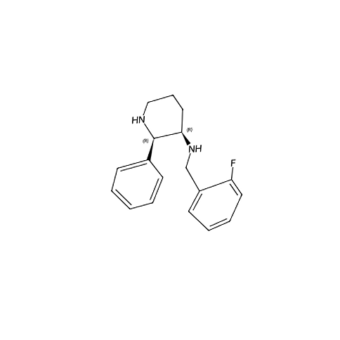 Fc1ccccc1CN[C@@H]1CCCN[C@@H]1c1ccccc1